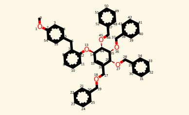 COc1ccc(Cc2ccccc2O[C@@H]2C=C(COCc3ccccc3)[C@@H](OCc3ccccc3)[C@@H](OCc3ccccc3)[C@H]2OCc2ccccc2)cc1